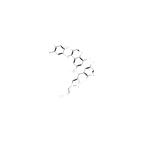 N#Cc1cnc2c(Cl)cc(N[C@H](C3=CN(CCO)NN3)c3cc(Cl)cnc3Cl)cc2c1Nc1ccc(F)c(Cl)c1